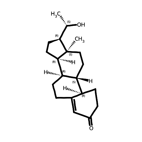 C[C@H](O)[C@@H]1CC[C@@H]2[C@@H]3CCC4=CC(=O)CC[C@@H]4[C@H]3CC[C@@]21C